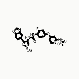 CC(C)(C)n1cc(NC(=O)Nc2ccc(Oc3ccnc(NS(C)(=O)=O)c3)cc2F)c(-c2ccc3ocnc3c2)n1